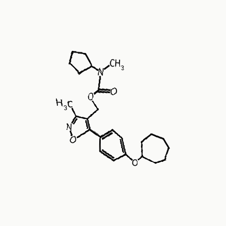 Cc1noc(-c2ccc(OC3CCCCCC3)cc2)c1COC(=O)N(C)C1CCCC1